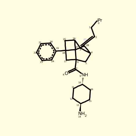 CC(C)C/C=C1/C2CC3(C(=O)N[C@H]4CC[C@H](N)CC4)CC4(c5ccccc5)CC1C34C2